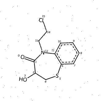 O=C1C(O)CSc2ccccc2N1CCCl